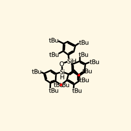 CC(C)(C)c1cc([SiH](O[SiH](c2cc(C(C)(C)C)cc(C(C)(C)C)c2C(C)(C)C)c2cc(C(C)(C)C)cc(C(C)(C)C)c2C(C)(C)C)c2cc(C(C)(C)C)cc(C(C)(C)C)c2C(C)(C)C)c(C(C)(C)C)c(C(C)(C)C)c1